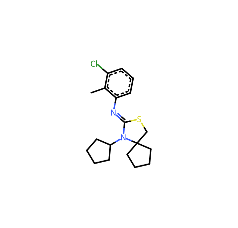 Cc1c(Cl)cccc1N=C1SCC2(CCCC2)N1C1CCCC1